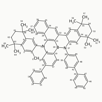 Cc1cc2c(cc1N1c3cc(-c4ccccc4)ccc3B3c4c(cc5ccccc5c41)-c1cc4c(cc1N3c1ccc(-c3ccccc3)cc1)C(C)(C)CCC4(C)C)C(C)(C)CCC2(C)C